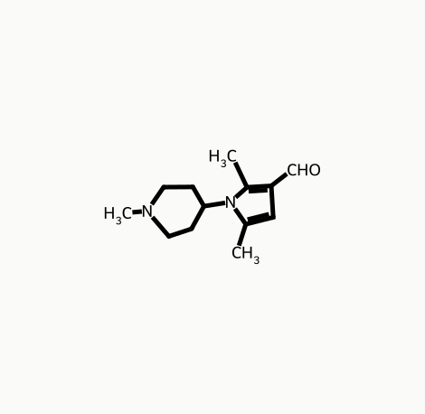 Cc1cc(C=O)c(C)n1C1CCN(C)CC1